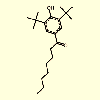 CCCCCCCC(=O)c1cc(C(C)(C)C)c(O)c(C(C)(C)C)c1